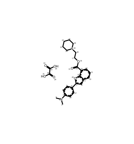 CN(C)c1ccc(-c2cc3cccc(C(=O)OCCN4CCCCC4)c3o2)cc1.O=C(O)C(=O)O